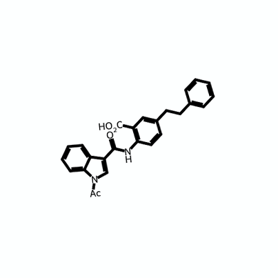 CC(=O)n1cc(C(=O)Nc2ccc(CCc3ccccc3)cc2C(=O)O)c2ccccc21